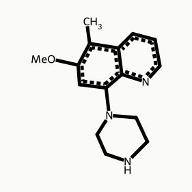 COc1cc(N2CCNCC2)c2ncccc2c1C